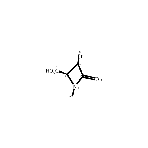 CCC1C(=O)N(C)[C@H]1C(=O)O